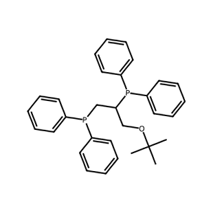 CC(C)(C)OCC(CP(c1ccccc1)c1ccccc1)P(c1ccccc1)c1ccccc1